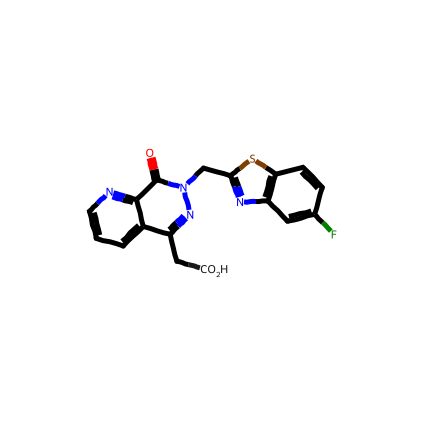 O=C(O)Cc1nn(Cc2nc3cc(F)ccc3s2)c(=O)c2ncccc12